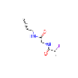 C=C=CCNC(=O)CNC(=O)[C@@H](C)I